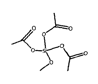 CO[Si](OC(C)=O)(OC(C)=O)OC(C)=O